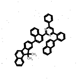 CC1(C)c2cc(-c3ccc(-c4nc(-c5ccccc5)cc(-c5ccccc5-c5ccc6ccccc6c5)n4)c4ccccc34)ccc2-c2ccc3ccccc3c21